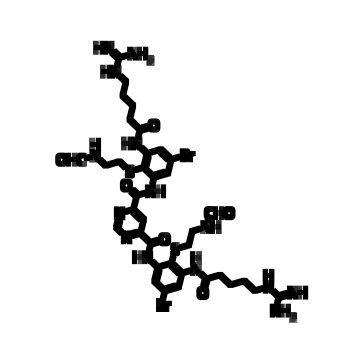 N=C(N)NCCCCC(=O)Nc1cc(Br)cc(NC(=O)c2cc(C(=O)Nc3cc(Br)cc(NC(=O)CCCCNC(=N)N)c3SCCNC=O)ncn2)c1SCCNC=O